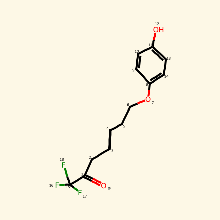 O=C(CCCCCOc1ccc(O)cc1)C(F)(F)F